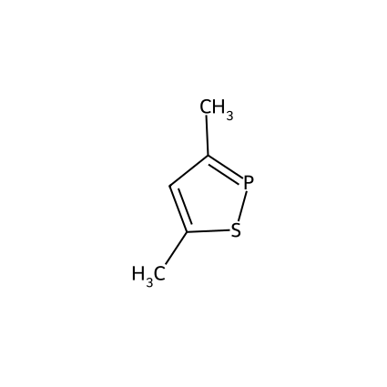 Cc1cc(C)sp1